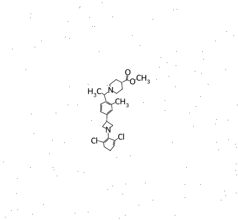 COC(=O)C1CCN(C(C)c2ccc(C3CN(C4=C(Cl)CCC=C4Cl)C3)cc2C)CC1